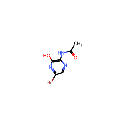 CC(=O)Nc1ncc(Br)nc1O